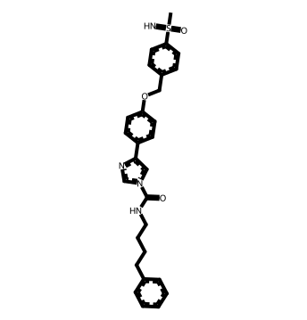 CS(=N)(=O)c1ccc(COc2ccc(-c3cn(C(=O)NCCCCc4ccccc4)cn3)cc2)cc1